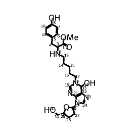 COC(=O)C(Cc1ccc(O)cc1)NCCCCCN1C=Nc2c(ncn2[C@H]2CC[C@@H](CO)O2)C1O